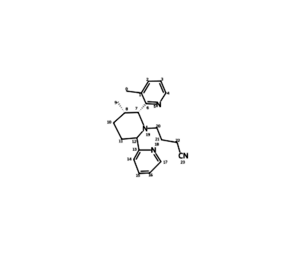 Cc1cccnc1[C@H]1[C@@H](C)CCC(c2ccccn2)N1CCCC#N